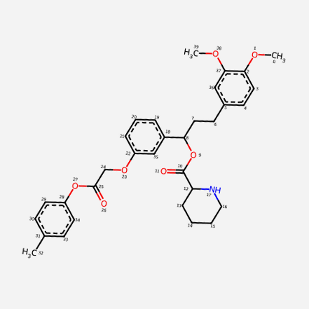 COc1ccc(CCC(OC(=O)C2CCCCN2)c2cccc(OCC(=O)Oc3ccc(C)cc3)c2)cc1OC